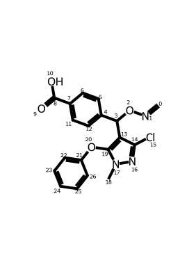 C=NOC(c1ccc(C(=O)O)cc1)c1c(Cl)nn(C)c1Oc1ccccc1